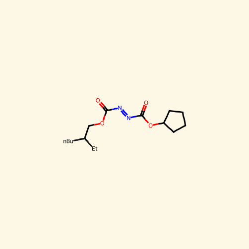 CCCCC(CC)COC(=O)N=NC(=O)OC1CCCC1